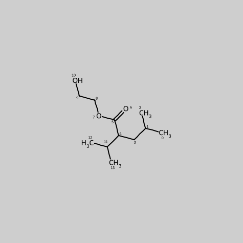 CC(C)CC(C(=O)OCCO)C(C)C